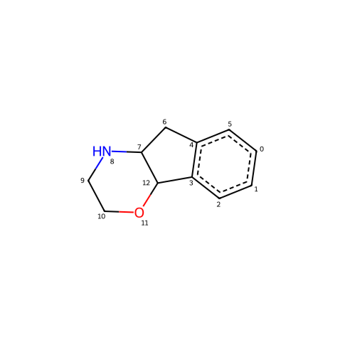 c1ccc2c(c1)CC1NCCOC21